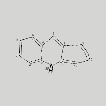 c1cc2cc3ccccc3[nH]c-2c1